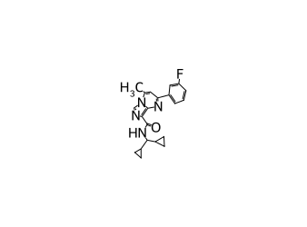 Cc1cc(-c2cccc(F)c2)nc2c(C(=O)NC(C3CC3)C3CC3)ncn12